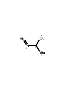 CC(C)(C)C(N=N)C(C)(C)C